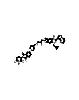 O=C1CCC(N2C(=O)c3ccc(N4CCC(COC[C@H](F)Cn5cc6cc(NC(=O)c7cnn8cccnc78)c(OCC7CC7)cc6n5)CC4)cc3C2=O)C(=O)N1